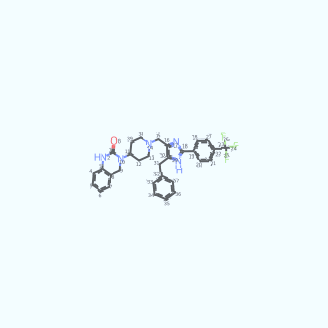 O=C1Nc2ccccc2CN1C1CCN(Cc2nc(-c3ccc(C(F)(F)F)cc3)[nH]c2Cc2ccccc2)CC1